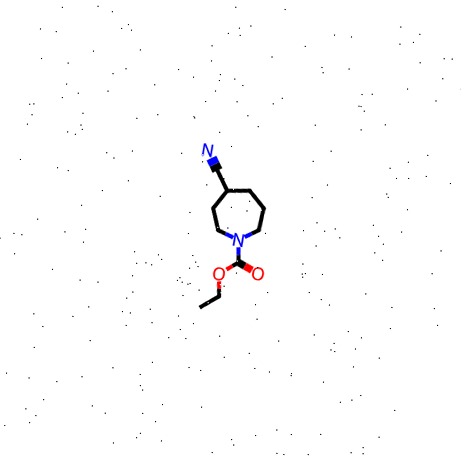 CCOC(=O)N1CCCC(C#N)CC1